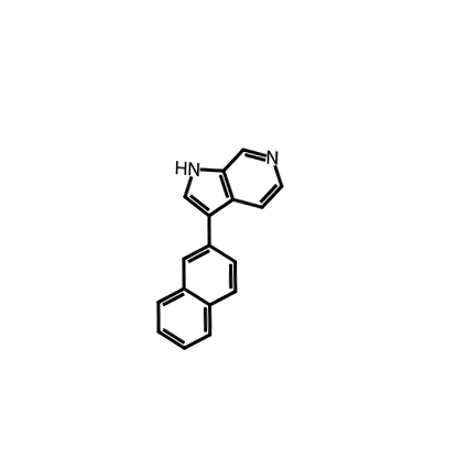 c1ccc2cc(-c3c[nH]c4cnccc34)ccc2c1